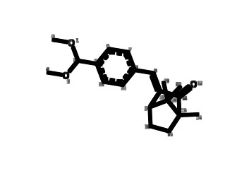 COC(OC)c1ccc(C=C2C(=O)C3(C)CCC2C3(C)C)cc1